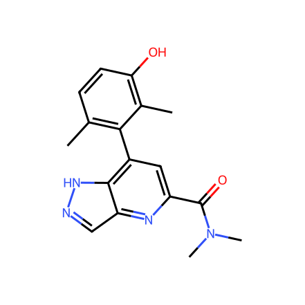 Cc1ccc(O)c(C)c1-c1cc(C(=O)N(C)C)nc2cn[nH]c12